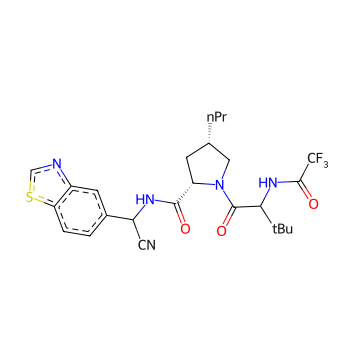 CCC[C@H]1C[C@@H](C(=O)NC(C#N)c2ccc3scnc3c2)N(C(=O)C(NC(=O)C(F)(F)F)C(C)(C)C)C1